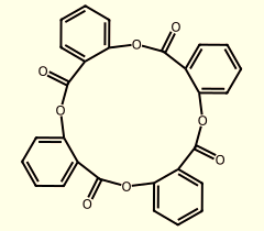 O=C1Oc2ccccc2C(=O)Oc2ccccc2C(=O)Oc2ccccc2C(=O)Oc2ccccc21